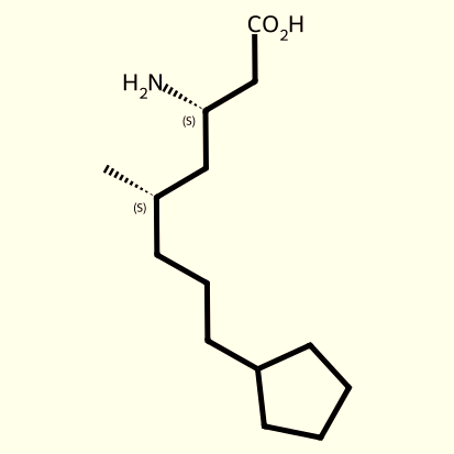 C[C@@H](CCCC1CCCC1)C[C@H](N)CC(=O)O